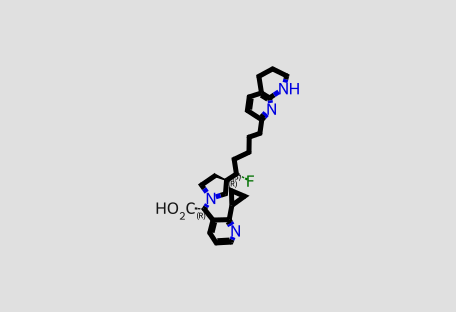 O=C(O)[C@@H](c1cccnc1C1CC1)N1CC[C@@H]([C@@H](F)CCCCc2ccc3c(n2)NCCC3)C1